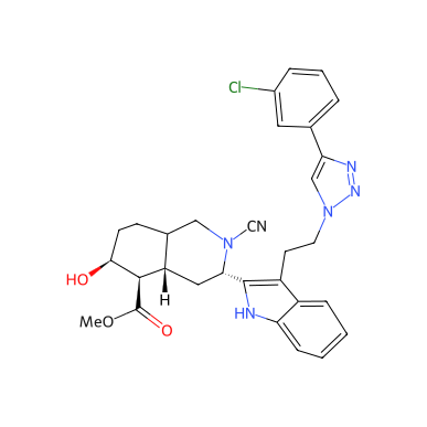 COC(=O)[C@H]1[C@@H](O)CCC2CN(C#N)[C@H](c3[nH]c4ccccc4c3CCn3cc(-c4cccc(Cl)c4)nn3)C[C@@H]21